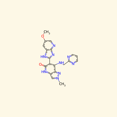 COc1cnc2nc(-c3c(NCc4ncccn4)c4nn(C)cc4[nH]c3=O)[nH]c2c1